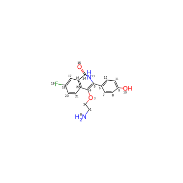 NCCOc1c(-c2ccc(O)cc2)[nH]c(=O)c2cc(F)ccc12